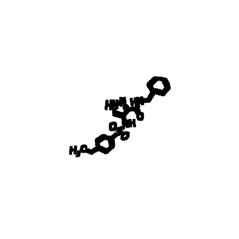 CCc1ccc(S(=O)(=O)Nc2c[nH]nc2C(=O)NCc2ccccc2)cc1